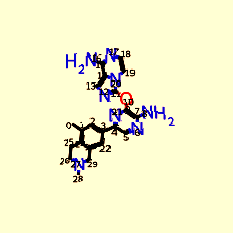 Cc1cc(-c2cnc(N)c(Oc3ncc4c(N)nccn34)n2)cc2c1CCN(C)C2